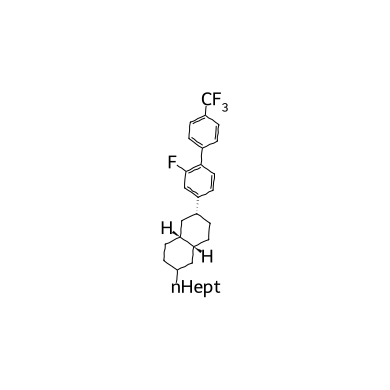 CCCCCCCC1CC[C@@H]2C[C@H](c3ccc(-c4ccc(C(F)(F)F)cc4)c(F)c3)CC[C@@H]2C1